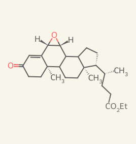 CCOC(=O)CC[C@@H](C)[C@H]1CCC2C3C(CC[C@@]21C)[C@@]1(C)CCC(=O)C=C1[C@@H]1O[C@H]31